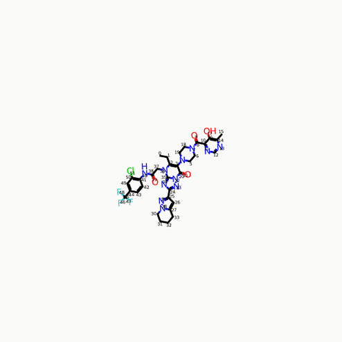 CCc1c(N2CCN(C(=O)c3ncnc(C)c3O)CC2)c(=O)n2nc(-c3cc4n(n3)CCCC4)nc2n1CC(=O)Nc1ccc(C(F)(F)F)cc1Cl